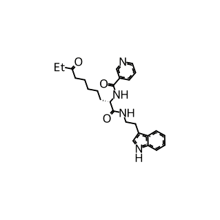 CCC(=O)CCCCC[C@H](NC(=O)c1cccnc1)C(=O)NCCc1c[nH]c2ccccc12